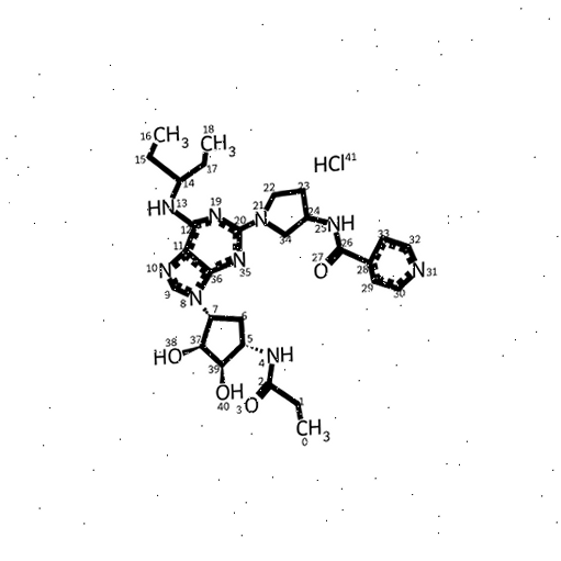 CCC(=O)N[C@H]1C[C@@H](n2cnc3c(NC(CC)CC)nc(N4CCC(NC(=O)c5ccncc5)C4)nc32)[C@H](O)[C@@H]1O.Cl